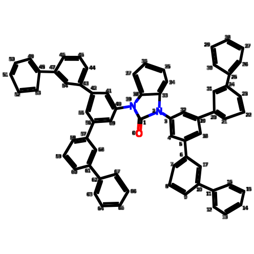 O=c1n(-c2cc(-c3cccc(-c4ccccc4)c3)cc(-c3cccc(-c4ccccc4)c3)c2)c2ccccc2n1-c1cc(-c2cccc(-c3ccccc3)c2)cc(-c2cccc(-c3ccccc3)c2)c1